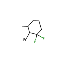 CC(C)C1C(C)CCCC1(F)F